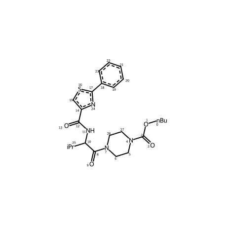 CCCCOC(=O)N1CCN(C(=O)C(NC(=O)c2csc(-c3ccccc3)n2)C(C)C)CC1